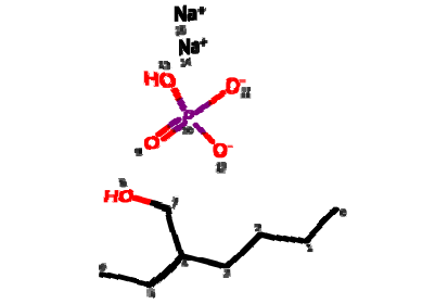 CCCCC(CC)CO.O=P([O-])([O-])O.[Na+].[Na+]